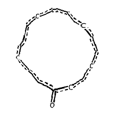 O=c1cccccccccccccc1